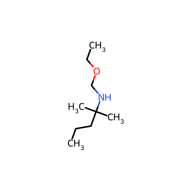 CCCC(C)(C)NCOCC